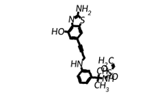 C=CS(=O)(=O)NC(C)(C)c1cccc(NCC#Cc2cc(O)c3nc(N)sc3c2)c1